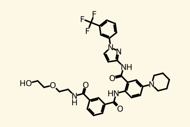 O=C(NCCOCCO)c1cccc(C(=O)Nc2ccc(N3CCCCC3)cc2C(=O)Nc2ccn(-c3cccc(C(F)(F)F)c3)n2)c1